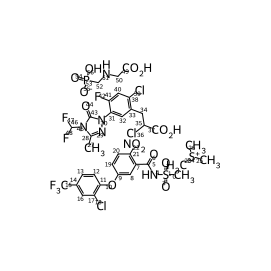 CS(=O)(=O)NC(=O)c1cc(Oc2ccc(C(F)(F)F)cc2Cl)ccc1[N+](=O)[O-].C[S+](C)C.Cc1nn(-c2cc(CC(Cl)C(=O)O)c(Cl)cc2F)c(=O)n1C(F)F.O=C(O)CNCP(=O)([O-])O